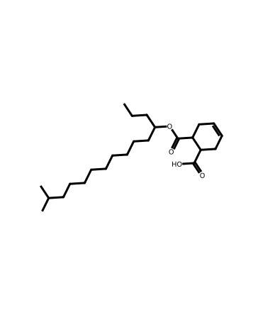 CCCC(CCCCCCCCCC(C)C)OC(=O)C1CC=CCC1C(=O)O